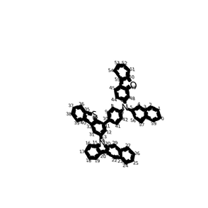 c1ccc2cc(N(c3ccc(-c4cc(-n5c6ccccc6c6cc7ccccc7cc65)cc5c4sc4ccccc45)cc3)c3ccc4c(c3)oc3ccccc34)ccc2c1